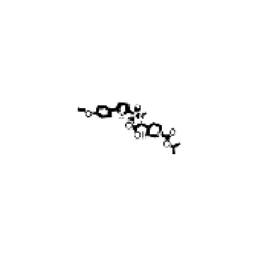 CCOc1ccc(-c2ccc(S(=O)(=O)N(C)[C@@H](C(=O)O)C3CCN(C(=O)OC(C)C)CC3)s2)cc1